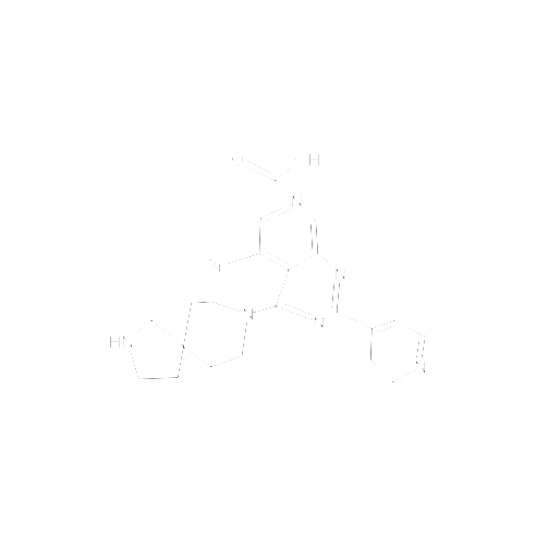 Brc1cncc2nc(-c3ccncc3)nc(N3CCC4(CCNC4)CC3)c12.O=CO